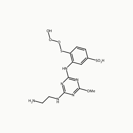 COc1nc(NCCN)nc(Nc2cc(S(=O)(=O)O)ccc2SOOO)n1